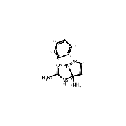 NC(=O)NC1(N)C=CN=N1.c1ccncc1